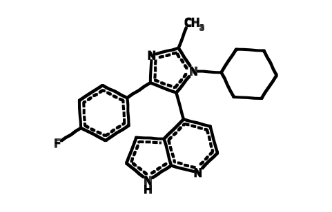 Cc1nc(-c2ccc(F)cc2)c(-c2ccnc3[nH]ccc23)n1C1CCCCC1